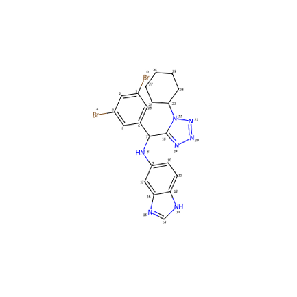 Brc1cc(Br)cc(C(Nc2ccc3[nH]cnc3c2)c2nnnn2C2CCCCC2)c1